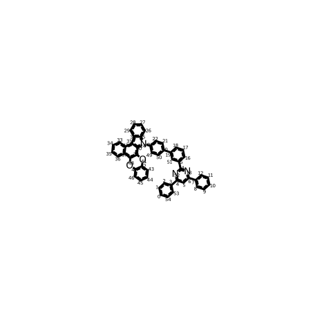 c1ccc(-c2cc(-c3ccccc3)nc(-c3cccc(-c4ccc(-n5c6ccccc6c6c7ccccc7c7c(c65)Oc5ccccc5O7)cc4)c3)n2)cc1